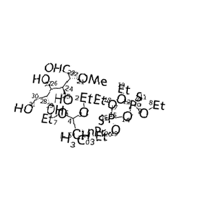 CCCC.CCOC(C)OCC.CCOP(=S)(OCC)OP(=S)(OCC)OCC.CO[C@@H](C=O)[C@@H](O)[C@H](O)[C@H](O)CO